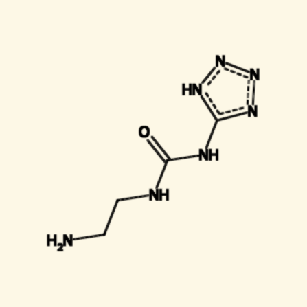 NCCNC(=O)Nc1nnn[nH]1